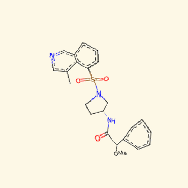 COC(C(=O)N[C@@H]1CCN(S(=O)(=O)c2cccc3cncc(C)c23)C1)c1ccccc1